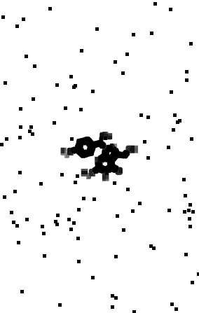 Cc1nc2c(c(CO)nn2[C@H](c2ccc(C(F)(F)F)cc2)C(C)(C)C)c(=O)[nH]1